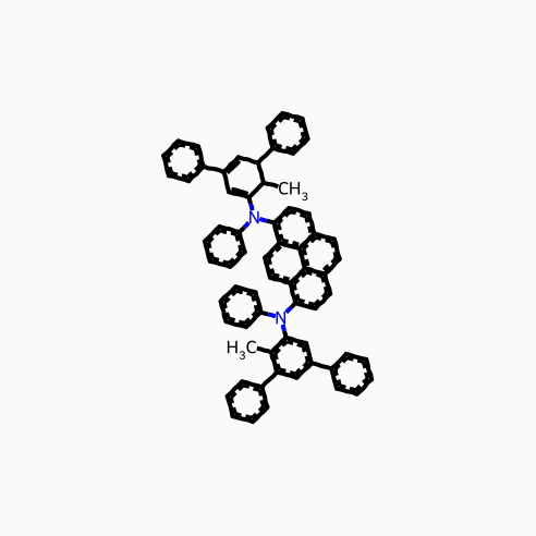 Cc1c(-c2ccccc2)cc(-c2ccccc2)cc1N(c1ccccc1)c1ccc2ccc3ccc(N(C4=CC(c5ccccc5)=CC(c5ccccc5)C4C)c4ccccc4)c4ccc1c2c34